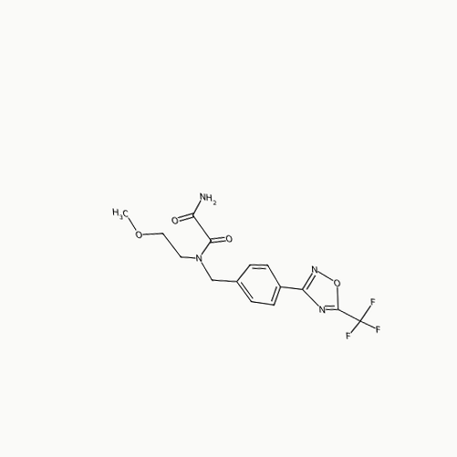 COCCN(Cc1ccc(-c2noc(C(F)(F)F)n2)cc1)C(=O)C(N)=O